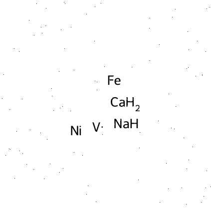 [CaH2].[Fe].[NaH].[Ni].[V]